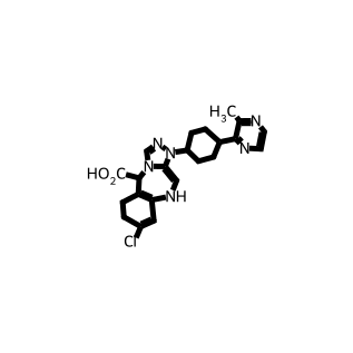 Cc1nccnc1C1CCC(N2N=CN3C2=CNC2=C(CCC(Cl)=C2)C3C(=O)O)CC1